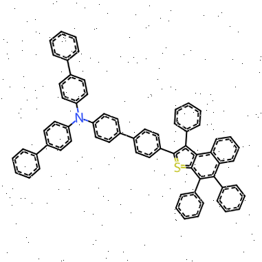 c1ccc(-c2ccc(N(c3ccc(-c4ccccc4)cc3)c3ccc(-c4ccc(-c5sc6c(-c7ccccc7)c(-c7ccccc7)c7ccccc7c6c5-c5ccccc5)cc4)cc3)cc2)cc1